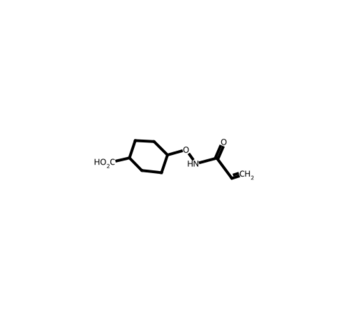 C=CC(=O)NOC1CCC(C(=O)O)CC1